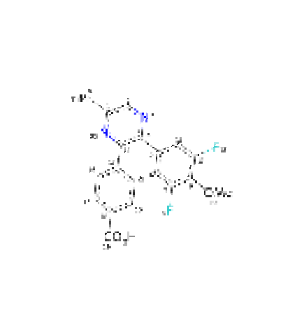 CCCc1cnc(-c2cc(F)c(OC)c(F)c2)c(-c2ccc(C(=O)O)cc2)n1